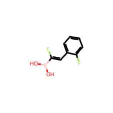 OB(O)C(F)=Cc1ccccc1F